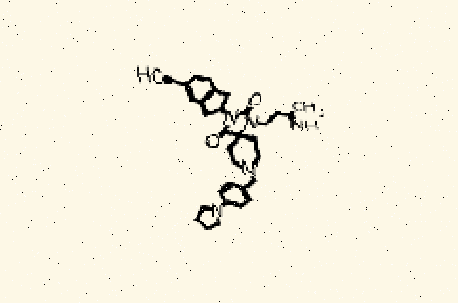 C#Cc1ccc2c(c1)CC(N1C(=O)N(CCC(C)=N)C3(CCN(Cc4ccc(N5CCCC5)cc4)CC3)C1=O)C2